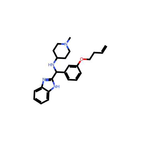 C=CCCOc1cccc(C(NC2CCN(C)CC2)c2nc3ccccc3[nH]2)c1